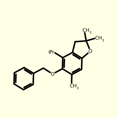 Cc1cc2c(c(C(C)C)c1OCc1ccccc1)CC(C)(C)O2